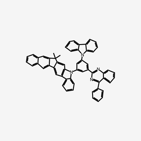 CC1(C)c2cc3ccccc3cc2-c2cc3c4ccccc4n(-c4cc(-c5nc(-c6ccccc6)c6ccccc6n5)cc(-n5c6ccccc6c6ccccc65)c4)c3cc21